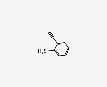 [C]#Cc1ccccc1[SiH3]